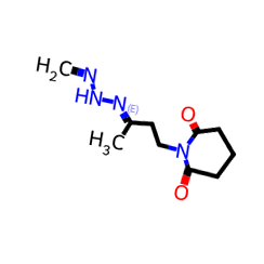 C=NN/N=C(\C)CCN1C(=O)CCCC1=O